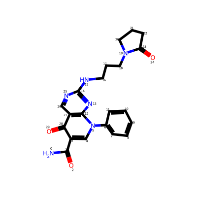 NC(=O)c1cn(-c2ccccc2)c2nc(NCCCN3CCCC3=O)ncc2c1=O